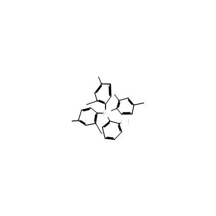 Cc1ccc([B-](c2ccc(C)cc2C)(c2ccc(C)cc2C)c2ccccc2O)c(C)c1